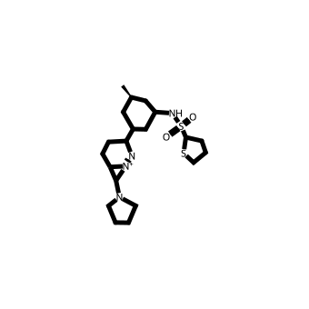 C[C@H]1CC(NS(=O)(=O)C2CCCS2)CC(C2CCC3C(N4CCCC4)[N+]3=N2)C1